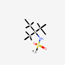 C[Si](C)(C)[Si](NS(=O)(=O)C(F)(F)F)([Si](C)(C)C)[Si](C)(C)C